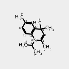 CC1=CC(C)(C)c2cc(C)ccc2N1C(C)C